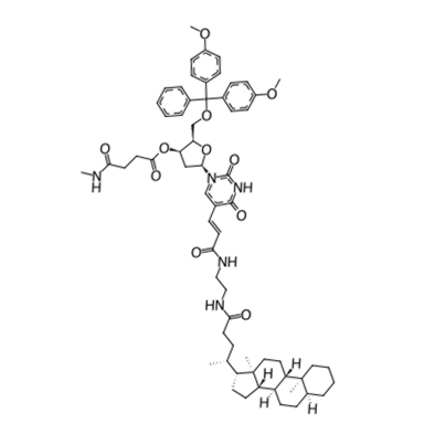 CNC(=O)CCC(=O)O[C@@H]1C[C@H](n2cc(/C=C/C(=O)NCCNC(=O)CC[C@@H](C)[C@H]3CC[C@H]4[C@@H]5CC[C@@H]6CCCC[C@]6(C)[C@H]5CC[C@]34C)c(=O)[nH]c2=O)O[C@@H]1COC(c1ccccc1)(c1ccc(OC)cc1)c1ccc(OC)cc1